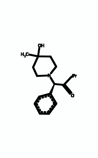 CC(C)C(=O)[C@@H](c1ccccc1)N1CCC(C)(O)CC1